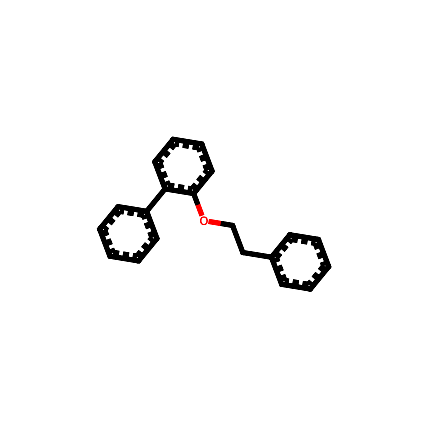 c1ccc(CCOc2ccccc2-c2ccccc2)cc1